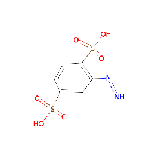 N=Nc1cc(S(=O)(=O)O)ccc1S(=O)(=O)O